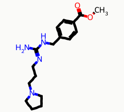 COC(=O)c1ccc(CNC(N)=NCCCN2CCCC2)cc1